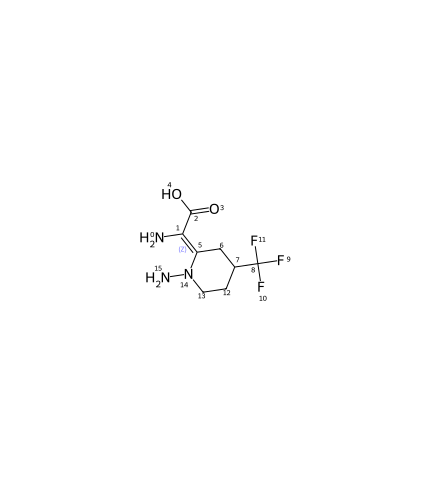 N/C(C(=O)O)=C1/CC(C(F)(F)F)CCN1N